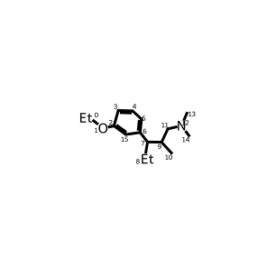 CCOc1cccc(C(CC)C(C)CN(C)C)c1